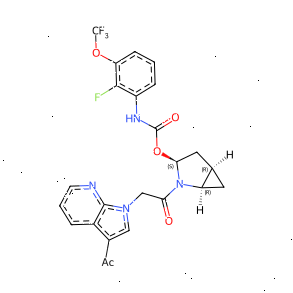 CC(=O)c1cn(CC(=O)N2[C@@H](OC(=O)Nc3cccc(OC(F)(F)F)c3F)C[C@H]3C[C@H]32)c2ncccc12